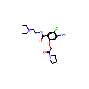 CCN(CC)CCNC(=O)c1cc(Cl)c(N)cc1OCC(=O)N1CCCC1